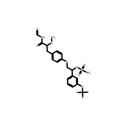 CSC(Cc1ccc(OCC(OS(N)(=O)=O)c2cccc(OC(F)(F)F)c2)cc1)C(=O)NC=O